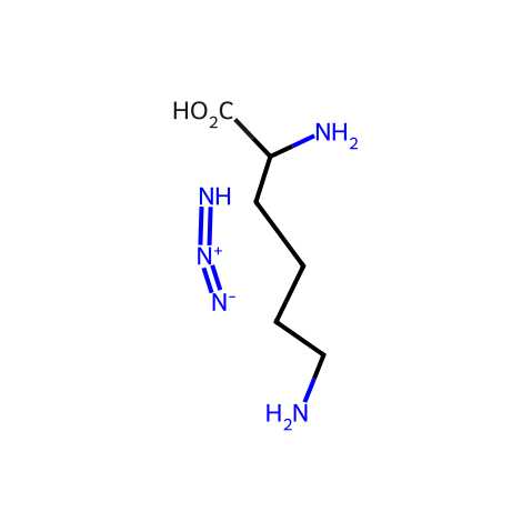 NCCCCC(N)C(=O)O.[N-]=[N+]=N